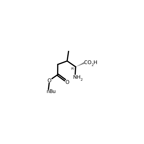 CCCCOC(=O)CC(C)[C@@H](N)C(=O)O